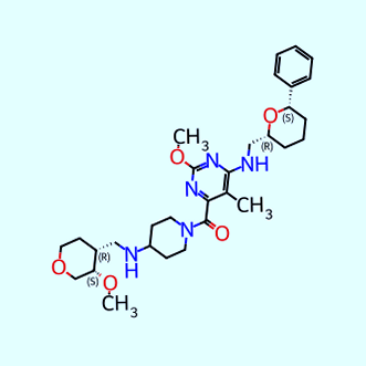 COc1nc(NC[C@H]2CCC[C@@H](c3ccccc3)O2)c(C)c(C(=O)N2CCC(NC[C@H]3CCOC[C@H]3OC)CC2)n1